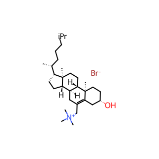 CC(C)CCC[C@@H](C)[C@H]1CC[C@H]2[C@@H]3CC(C[N+](C)(C)C)=C4C[C@@H](O)CC[C@]4(C)[C@H]3CC[C@]12C.[Br-]